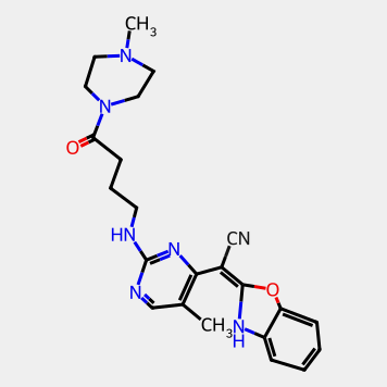 Cc1cnc(NCCCC(=O)N2CCN(C)CC2)nc1C(C#N)=C1Nc2ccccc2O1